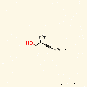 CCCC#CC(CO)CCC